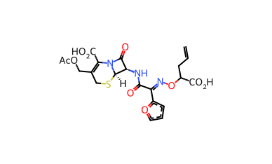 C=CCC(ON=C(C(=O)N[C@@H]1C(=O)N2C(C(=O)O)=C(COC(C)=O)CS[C@H]12)c1ccco1)C(=O)O